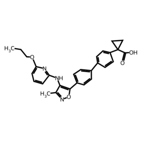 CCCOc1cccc(Nc2c(C)noc2-c2ccc(-c3ccc(C4(C(=O)O)CC4)cc3)cc2)n1